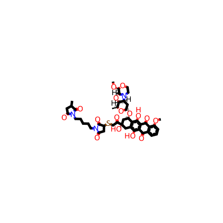 COc1cccc2c1C(=O)c1c(O)c3c(c(O)c1C2=O)C[C@@](O)(C(=O)CSC1CC(=O)N(CCCCCN2C(=O)CC(C)C2=O)C1=O)C[C@@H]3O[C@H]1C[C@H]2[C@H](O[C@@H]3[C@@H](OC)OCCN32)[C@H](C)O1